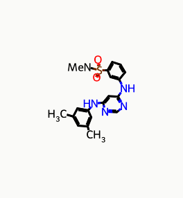 CNS(=O)(=O)c1cccc(Nc2cc(Nc3cc(C)cc(C)c3)ncn2)c1